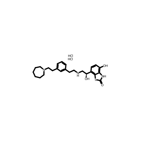 Cl.Cl.O=c1[nH]c2c(O)ccc([C@@H](O)CNCCc3cccc(CCN4CCCCCC4)c3)c2s1